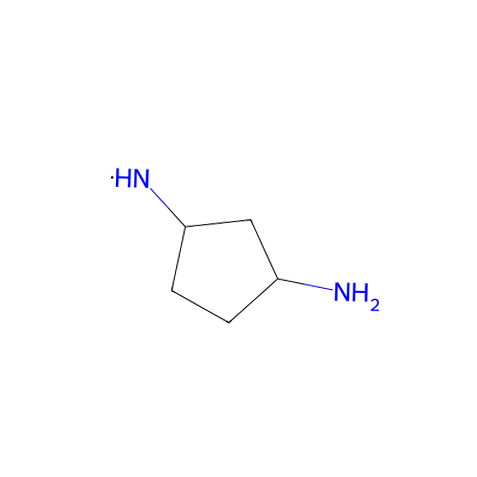 [NH]C1CCC(N)C1